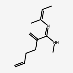 C=CCCC(=C)/C(=N\C(C)=C/C)NC